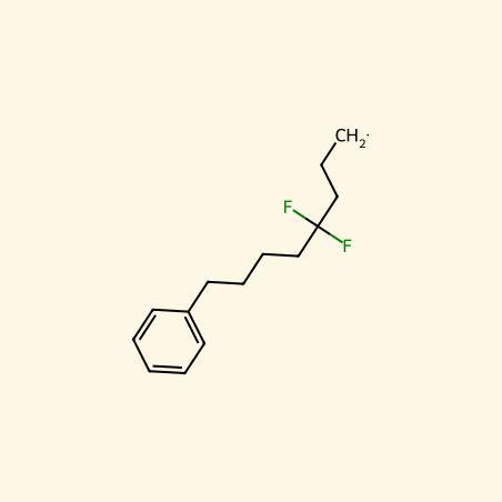 [CH2]CCC(F)(F)CCCCc1ccccc1